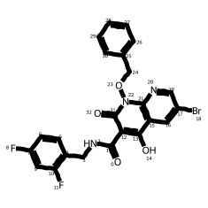 O=C(NCc1ccc(F)cc1F)c1c(O)c2cc(Br)cnc2n(OCc2ccccc2)c1=O